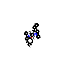 C=C1c2ccccc2/C=C\CC(C)(C)c2c1ccc1c3ccccc3n(-c3cc(C#N)c(-n4c5ccccc5c5ccc6c(c54)C(C)(C)c4ccc5ccccc5c4-6)cc3C#N)c21